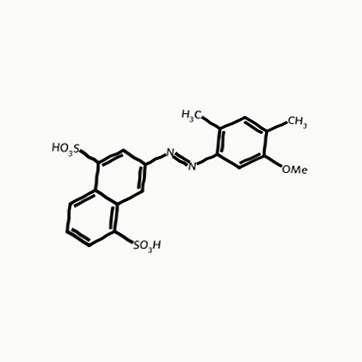 COc1cc(N=Nc2cc(S(=O)(=O)O)c3cccc(S(=O)(=O)O)c3c2)c(C)cc1C